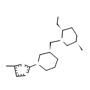 CCc1csc(N2CCC[C@H](CN3C[C@H](O)CC[C@@H]3CO)C2)n1